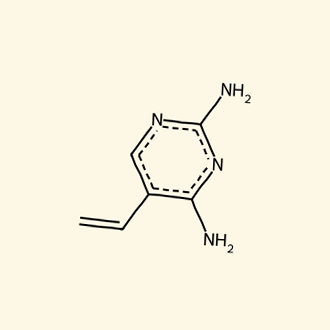 C=Cc1cnc(N)nc1N